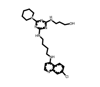 OCCCNc1nc(NCCCCNc2ccnc3cc(Cl)ccc23)nc(N2CCCCC2)n1